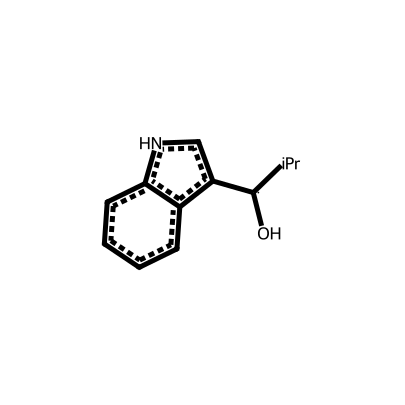 CC(C)[C](O)c1c[nH]c2ccccc12